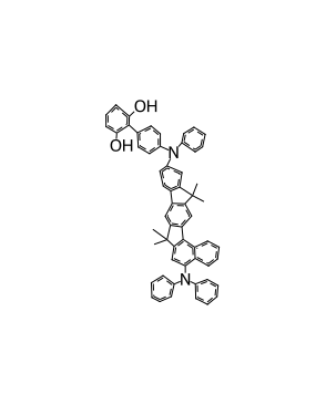 CC1(C)c2cc(N(c3ccccc3)c3ccc(-c4c(O)cccc4O)cc3)ccc2-c2cc3c(cc21)-c1c(cc(N(c2ccccc2)c2ccccc2)c2ccccc12)C3(C)C